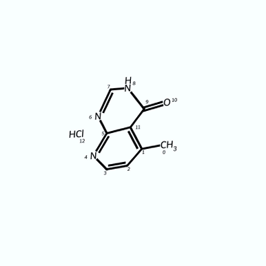 Cc1ccnc2nc[nH]c(=O)c12.Cl